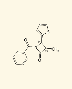 C[C@H]1C(=O)N(C(=O)c2ccccc2)[C@H]1c1cccs1